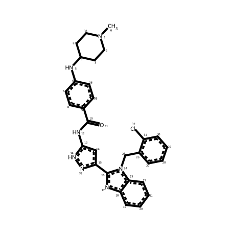 CN1CCC(Nc2ccc(C(=O)Nc3cc(-c4nc5ccccc5n4Cc4ccccc4Cl)n[nH]3)cc2)CC1